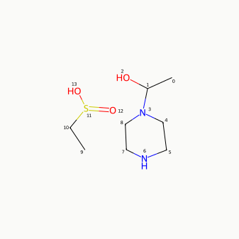 CC(O)N1CCNCC1.CCS(=O)O